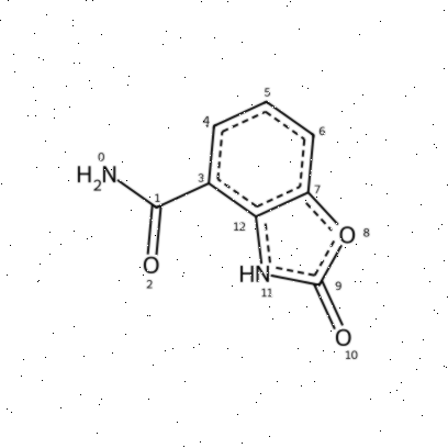 NC(=O)c1[c]ccc2oc(=O)[nH]c12